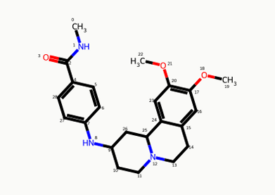 CNC(=O)c1ccc(NC2CCN3CCc4cc(OC)c(OC)cc4C3C2)cc1